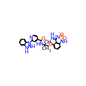 CC(C)(COc1cccc2c1C(N)=NS(=O)(=O)N2)NC(=O)c1ccnc(N2NNc3ccccc32)c1